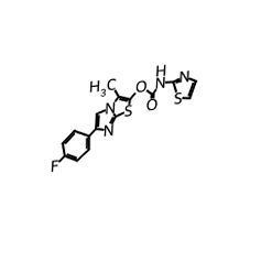 Cc1c(OC(=O)Nc2nccs2)sc2nc(-c3ccc(F)cc3)cn12